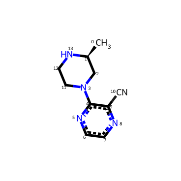 C[C@H]1CN(c2nccnc2C#N)CCN1